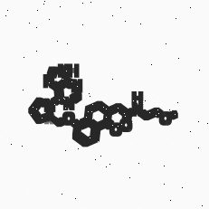 COCCNC(=O)CC1CCc2c(OC[C@H]3CCCN3c3ncnc4[nH]cnc34)cccc2C1=O